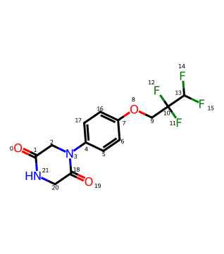 O=C1CN(c2ccc(OCC(F)(F)C(F)F)cc2)C(=O)CN1